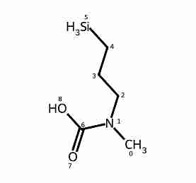 CN(CCC[SiH3])C(=O)O